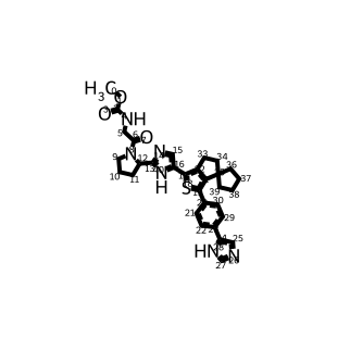 COC(=O)NCC(=O)N1CCCC1c1ncc(-c2sc(-c3ccc(-c4cnc[nH]4)cc3)c3c2CCC32CCCC2)[nH]1